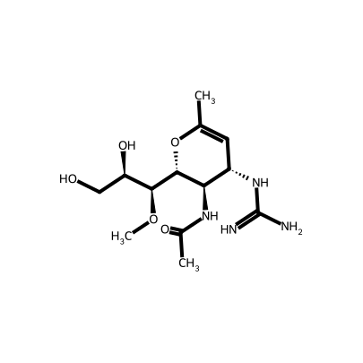 CO[C@H]([C@@H]1OC(C)=C[C@H](NC(=N)N)[C@H]1NC(C)=O)[C@H](O)CO